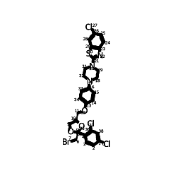 Clc1ccc([C@]2(CBr)OC[C@@H](COc3ccc(N4CCN(c5nc6ccc(Cl)cc6s5)CC4)cc3)O2)c(Cl)c1